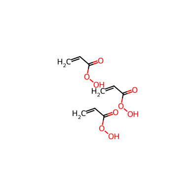 C=CC(=O)OO.C=CC(=O)OO.C=CC(=O)OO